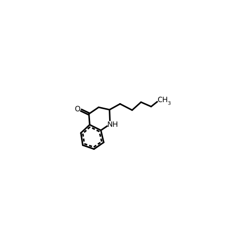 CCCCCC1CC(=O)c2ccccc2N1